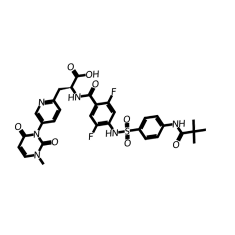 Cn1ccc(=O)n(-c2ccc(C[C@H](NC(=O)c3cc(F)c(NS(=O)(=O)c4ccc(NC(=O)C(C)(C)C)cc4)cc3F)C(=O)O)nc2)c1=O